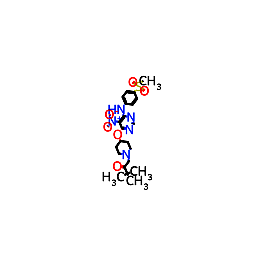 CC(C)(C)C(=O)CN1CCC(Oc2ncnc(Nc3ccc(S(C)(=O)=O)cc3)c2[N+](=O)[O-])CC1